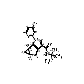 CC(C)(NC(=O)c1nn(-c2cc(Br)ccn2)c2c1C[C@H]1C[C@@H]21)C(F)(F)F